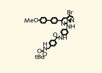 COc1ccc(-c2ccc(-c3cc4c(Br)cnn4c(Nc4ccc(NC(=O)c5ccc(CNC(=O)OC(C)(C)C)cc5)cc4)n3)cc2)cc1